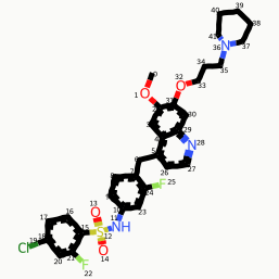 COc1cc2c(Cc3ccc(NS(=O)(=O)c4ccc(Cl)cc4F)cc3F)ccnc2cc1OCCCN1CCCCC1